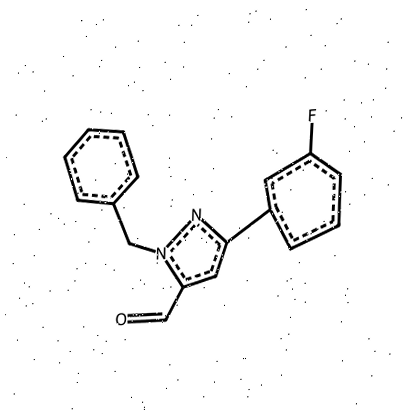 O=Cc1cc(-c2cccc(F)c2)nn1Cc1ccccc1